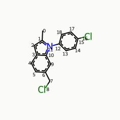 Cc1cc2ccc(CCl)cc2n1-c1ccc(Cl)cc1